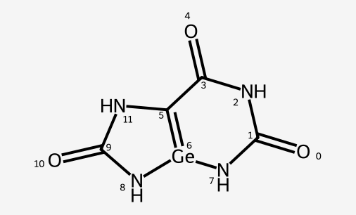 O=C1NC(=O)[C]2=[Ge]([NH]1)[NH]C(=O)N2